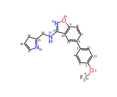 FC(F)(F)Oc1ccc(-c2ccc3onc(NCC4=NC=CC4)c3c2)cc1